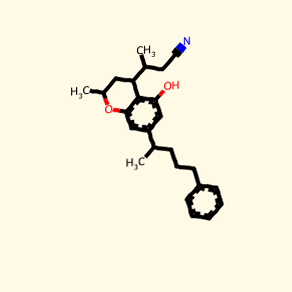 CC1CC(C(C)CC#N)c2c(O)cc(C(C)CCCc3ccccc3)cc2O1